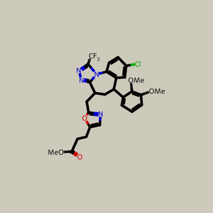 COC(=O)CCc1cnc(CC2CC(c3cccc(OC)c3OC)c3cc(Cl)ccc3-n3c2nnc3C(F)(F)F)o1